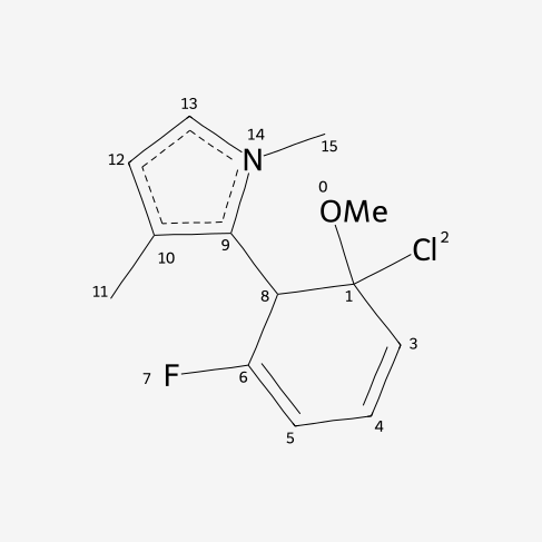 COC1(Cl)C=CC=C(F)C1c1c(C)ccn1C